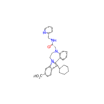 O=C(CN1CCn2c(c(C3CCCCC3)c3ccc(C(=O)O)cc32)-c2ccccc21)NCc1ccccn1